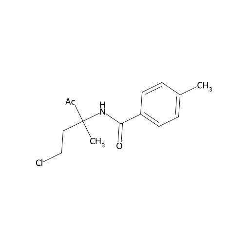 CC(=O)C(C)(CCCl)NC(=O)c1ccc(C)cc1